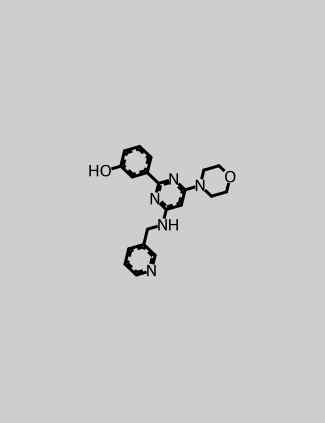 Oc1cccc(-c2nc(NCc3cccnc3)cc(N3CCOCC3)n2)c1